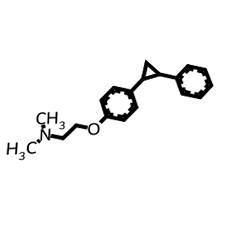 CN(C)CCOc1ccc(C2CC2c2ccccc2)cc1